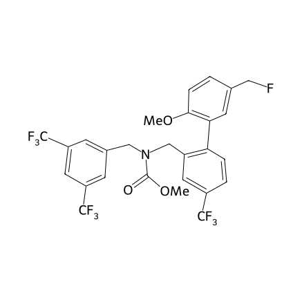 COC(=O)N(Cc1cc(C(F)(F)F)cc(C(F)(F)F)c1)Cc1cc(C(F)(F)F)ccc1-c1cc(CF)ccc1OC